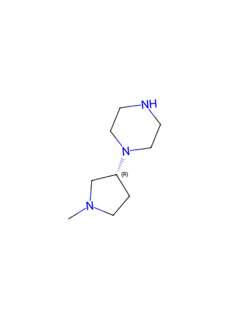 CN1CC[C@@H](N2CCNCC2)C1